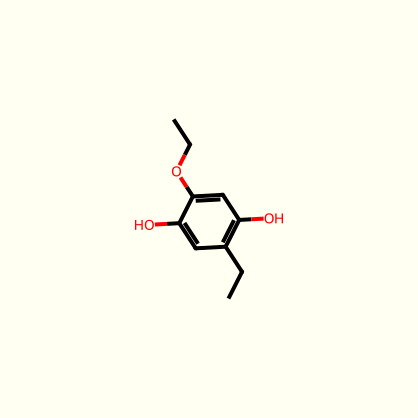 CCOc1cc(O)c(CC)cc1O